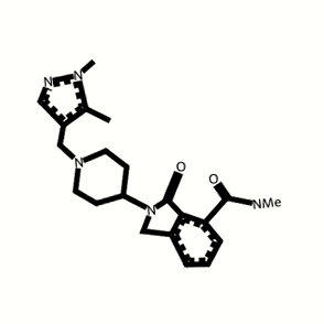 CNC(=O)c1cccc2c1C(=O)N(C1CCN(Cc3cnn(C)c3C)CC1)C2